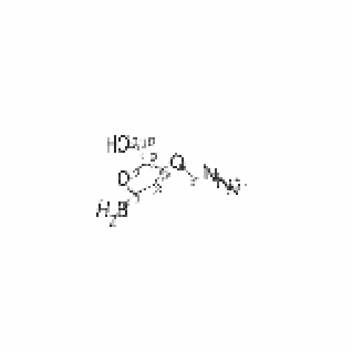 B[C@H]1C[C@@H](OCN=[N+]=[N-])[C@@H](CO)O1